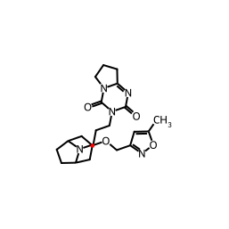 Cc1cc(COC2CC3CCC(C2)N3CCCn2c(=O)nc3n(c2=O)CCC3)no1